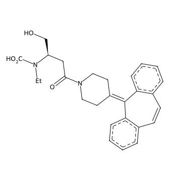 CCN(C(=O)O)[C@@H](CO)CC(=O)N1CCC(=C2c3ccccc3C=Cc3ccccc32)CC1